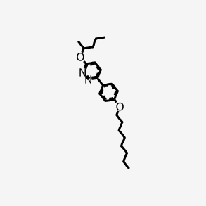 CCCCCCCCOc1ccc(-c2ccc(OC(C)CCC)nn2)cc1